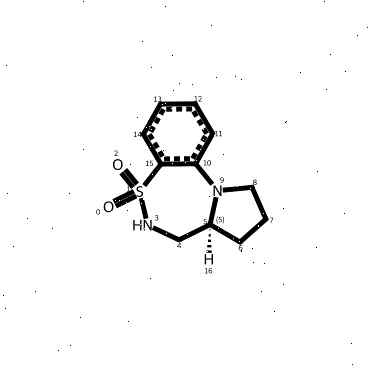 O=S1(=O)NC[C@@H]2CCCN2c2ccccc21